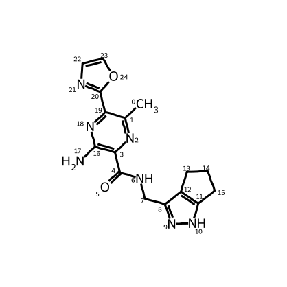 Cc1nc(C(=O)NCc2n[nH]c3c2CCC3)c(N)nc1-c1ncco1